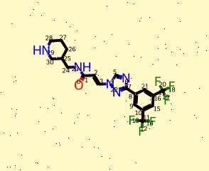 O=C(C=Cn1cnc(-c2cc(C(F)(F)F)cc(C(F)(F)F)c2)n1)NCC1CCCNC1